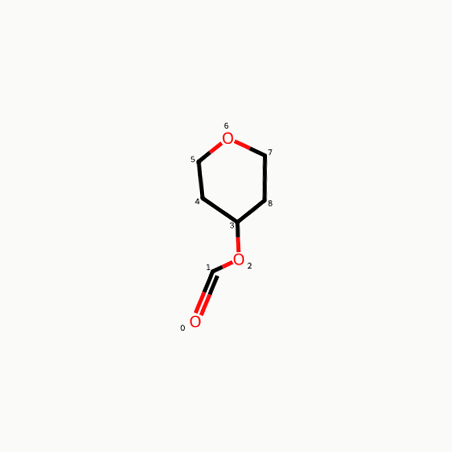 O=COC1CCOCC1